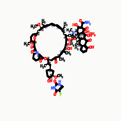 CO[C@H]1C[C@@H]2CC[C@@H](C)[C@@](O)(O2)C(=O)C(=O)N2CCCC[C@H]2C(=O)O[C@H]([C@H](C)C[C@@H]2CC[C@@H](O)[C@H](OC)C2)CC(=O)[C@H](C)/C=C(\C)[C@@H](O)[C@@H](OC)C(=O)[C@H](C)C[C@H](C)/C=C/C=C/C=C/1C.C[C@H]1c2cccc(O)c2C(=O)C2=C(O)[C@]3(O)C(=O)C(C(N)=O)=C(O)[C@@H](N(C)C)[C@@H]3[C@@H](O)[C@@H]21.O.O=c1[nH]cc(F)c(=O)[nH]1